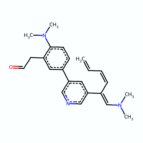 C=C/C=C\C(=C/N(C)C)c1cncc(-c2ccc(N(C)C)c(CC=O)c2)c1